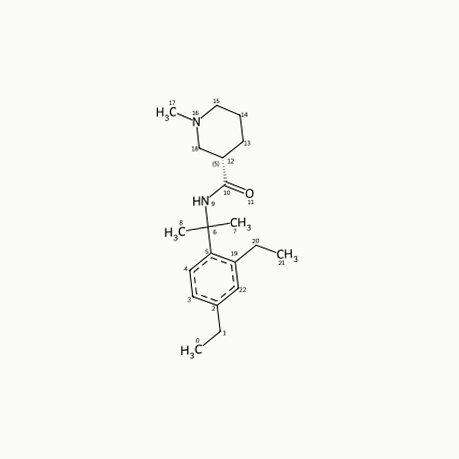 CCc1ccc(C(C)(C)NC(=O)[C@H]2CCCN(C)C2)c(CC)c1